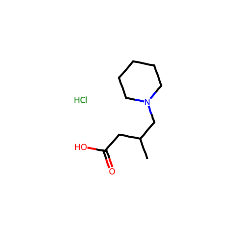 CC(CC(=O)O)CN1CCCCC1.Cl